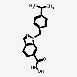 CC(C)c1ccc(Cn2ncc3ccc(C(=O)NO)cc32)cc1